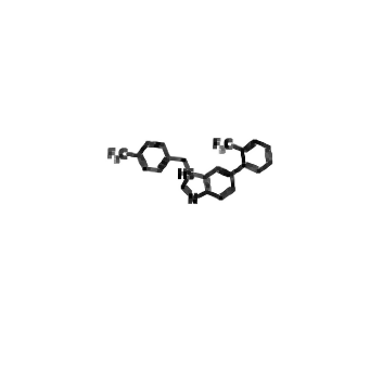 FC(F)(F)c1ccc(C[SH]2C=Nc3ccc(-c4ccccc4C(F)(F)F)cc32)cc1